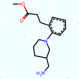 COC(=O)CCc1ccccc1N1CCCC(CN)C1